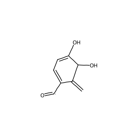 C=C1C([C]=O)=CC=C(O)C1O